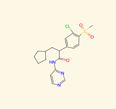 CS(=O)(=O)c1ccc(C(CC2CCCC2)C(=O)Nc2ccncn2)cc1Cl